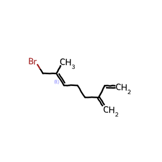 C=CC(=C)CC/C=C(\C)CBr